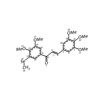 COc1cc(/C=C/C(=O)c2cc(OC)c(OC)c([Se]C)c2)cc(OC)c1OC